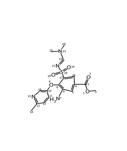 COC(=O)c1cc(N)c(Oc2ccc(C)nc2)c(S(=O)(=O)N=CN(C)C)c1